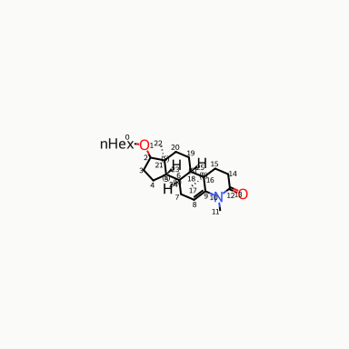 CCCCCCOC1CC[C@H]2[C@@H]3CC=C4N(C)C(=O)CC[C@]4(C)[C@H]3CC[C@]12C